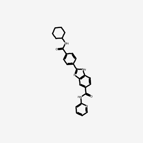 O=C(Nc1ccccn1)c1ccc2[nH]c(-c3ccc(C(=O)NC4CCCCC4)cc3)nc2c1